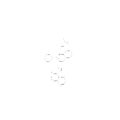 CC(Nc1ncnc2[nH]ccc(=O)c12)c1c(Cl)c2cccc(C(=O)NC(C)(C)C)c2c(=O)n1-c1ccccc1